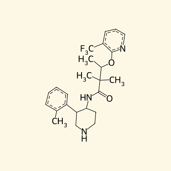 Cc1ccccc1C1CNCCC1NC(=O)C(C)(C)C(C)Oc1ncccc1C(F)(F)F